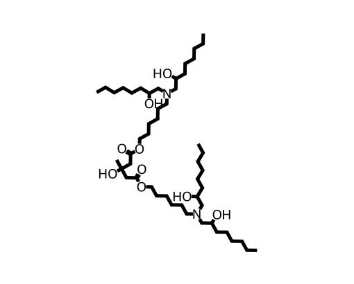 CCCCCCC(O)CN(CCCCCCOC(=O)CC(C)(O)CC(=O)OCCCCCCN(CC(O)CCCCCC)CC(O)CCCCCC)CC(O)CCCCCC